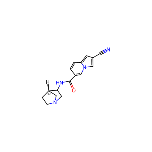 N#Cc1cc2ccc(C(=O)NC3CN4CC[C@H]3C4)cn2c1